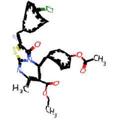 CCOC(=O)C1=C(C)N=c2s/c(=C/c3ccc(Cl)cc3)c(=O)n2C1c1ccc(OC(C)=O)cc1